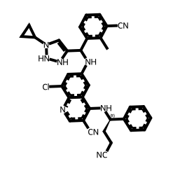 Cc1c(C#N)cccc1C(Nc1cc(Cl)c2ncc(C#N)c(N[C@H](CCC#N)c3ccccc3)c2c1)C1=CN(C2CC2)NN1